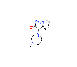 CN1CCCN(C(C(N)=O)c2ccccn2)CC1